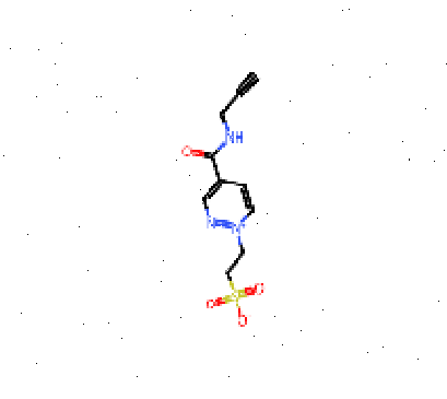 C#CCNC(=O)c1cc[n+](CCS(=O)(=O)[O-])nc1